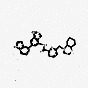 O=C(Nc1cc(-c2cccc3[nH]ccc23)cc2[nH]ncc12)c1cccc(CN2CCOC3CCCCC32)n1